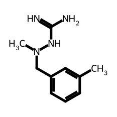 Cc1cccc(CN(C)NC(=N)N)c1